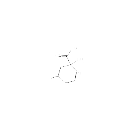 COC(=O)C1(N)CCCC(C)C1.Cl